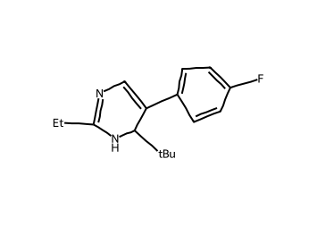 CCC1=NC=C(c2ccc(F)cc2)C(C(C)(C)C)N1